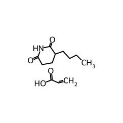 C=CC(=O)O.CCCCC1CCC(=O)NC1=O